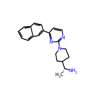 C[C@@H](N)C1CCN(c2nccc(-c3ccc4ccccc4c3)n2)CC1